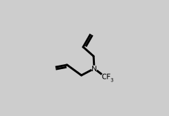 C=CCN(CC=C)C(F)(F)F